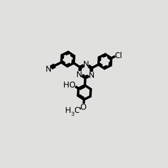 COC1=CC(O)=C(c2nc(-c3ccc(Cl)cc3)nc(-c3cccc(C#N)c3)n2)CC1